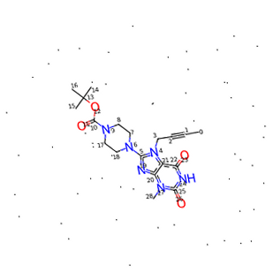 CC#CCn1c(N2CCN(C(=O)OC(C)(C)C)CC2)nc2c1c(=O)[nH]c(=O)n2C